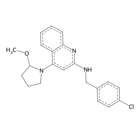 COC1CCCN1c1cc(NCc2ccc(Cl)cc2)nc2ccccc12